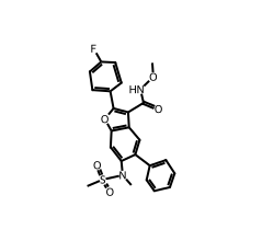 CONC(=O)c1c(-c2ccc(F)cc2)oc2cc(N(C)S(C)(=O)=O)c(-c3ccccc3)cc12